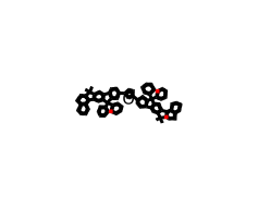 CC1(C)c2cc3c(cc2-c2c1ccc1ccccc21)C(c1ccccc1)(c1ccccc1)c1cc(-c2ccc(-c4ccc5c(c4)C(c4ccccc4)(c4ccccc4)c4cc6c(cc4-5)C(C)(C)c4ccc5ccccc5c4-6)o2)ccc1-3